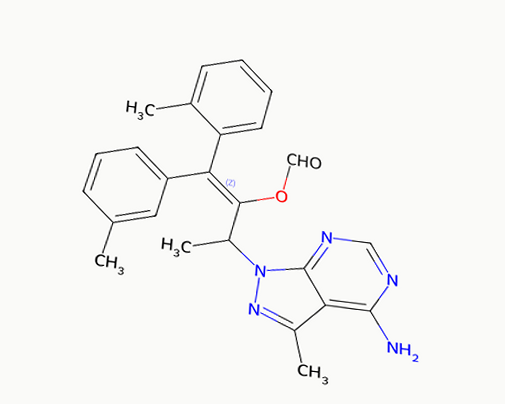 Cc1cccc(/C(=C(/OC=O)C(C)n2nc(C)c3c(N)ncnc32)c2ccccc2C)c1